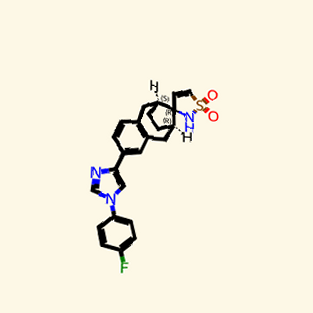 O=S1(=O)C=C[C@]2(N1)[C@@H]1CC[C@H]2Cc2ccc(-c3cn(-c4ccc(F)cc4)cn3)cc2C1